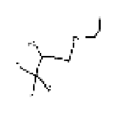 CCOCC(O)C(F)(F)F